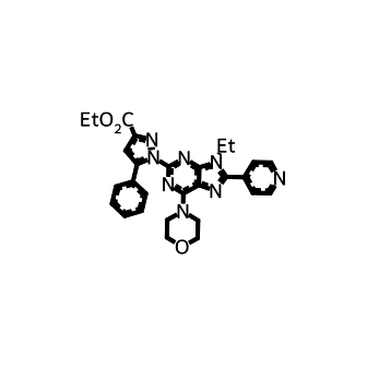 CCOC(=O)c1cc(-c2ccccc2)n(-c2nc(N3CCOCC3)c3nc(-c4ccncc4)n(CC)c3n2)n1